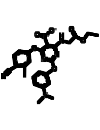 CCOC(=O)CNc1nc(Oc2cccc(N(C)C)c2)nc(Oc2ccc(C#N)c(C)c2)c1[N+](=O)[O-]